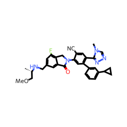 COC[C@H](C)NCc1cc(F)c2c(c1)C(=O)N(c1cc(-c3cccc(C4CC4)c3)c(-c3nncn3C)cc1C#N)C2